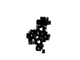 CN1CC(c2nccs2)(c2ccc(C(F)(F)F)cc2-c2ccnn2C)c2ccc(S(N)(=O)=O)cc21